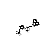 Cc1ccc(N2CCOC(CCN[C@H](C)c3cccc4ccccc34)C2)cc1CCC(=O)O.Cl